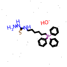 NNC(=S)NCCCCCC[P+](c1ccccc1)(c1ccccc1)c1ccccc1.[OH-]